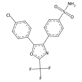 NS(=O)(=O)c1ccc(-c2nc(C(F)(F)F)oc2-c2ccc(Cl)cc2)cc1